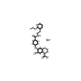 CCOc1ncccc1CCNC(=O)c1ccc(Oc2cc3c(cc2Cl)C(C(=O)[O-])CCO3)cc1.[Na+]